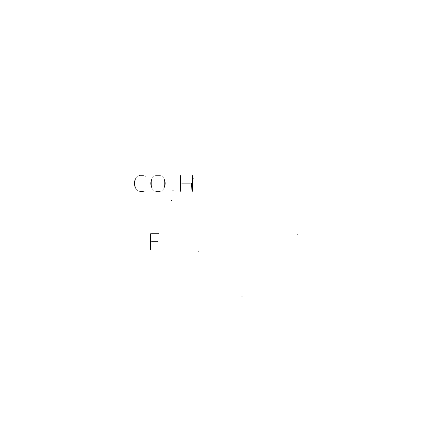 O=C(O)F.c1cc2cc-2c1